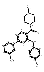 CN1CCN(C(=O)c2nnc(-c3cccc(C(F)(F)F)c3)nc2Oc2ccc(Cl)cc2)CC1